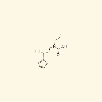 CCCN(CCC(O)c1cccs1)C(=O)O